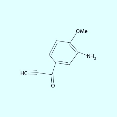 C#CC(=O)c1ccc(OC)c(N)c1